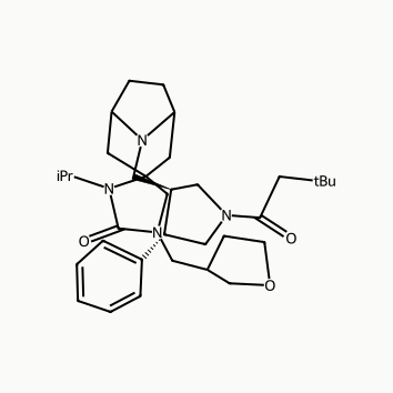 CC(C)N1C(=O)N(CC2CCOC2)CC12CC1CCC(C2)N1C[C@H]1CN(C(=O)CC(C)(C)C)C[C@@H]1c1ccccc1